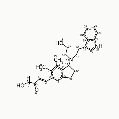 Cc1c(C=CC(=O)NO)cc2c(c1C)C(N(CCO)CCc1c[nH]c3ccccc13)CC2